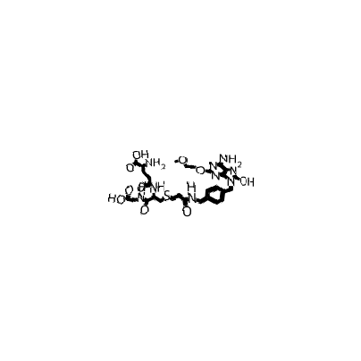 COCCOc1nc(N)c2nc(O)n(Cc3ccc(CNC(=O)CCSCC(NC(=O)CCC(N)C(=O)O)C(=O)NCC(=O)O)cc3)c2n1